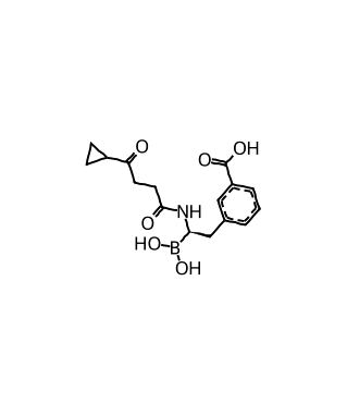 O=C(CCC(=O)C1CC1)N[C@@H](Cc1cccc(C(=O)O)c1)B(O)O